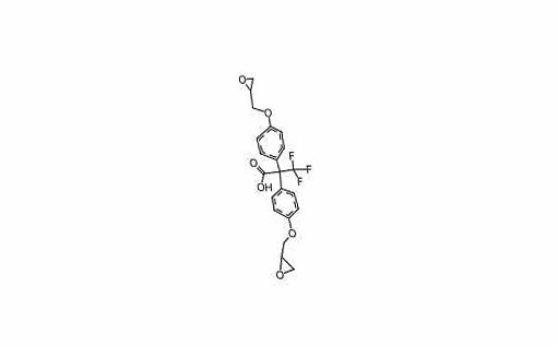 O=C(O)C(c1ccc(OCC2CO2)cc1)(c1ccc(OCC2CO2)cc1)C(F)(F)F